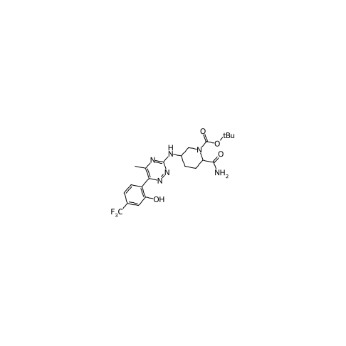 Cc1nc(NC2CCC(C(N)=O)N(C(=O)OC(C)(C)C)C2)nnc1-c1ccc(C(F)(F)F)cc1O